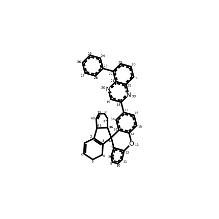 C1=CC2=C(CC1)C1(c3ccccc3Oc3ccc(-c4cnc5c(-c6ccccc6)cccc5n4)cc31)C1CCC=CC21